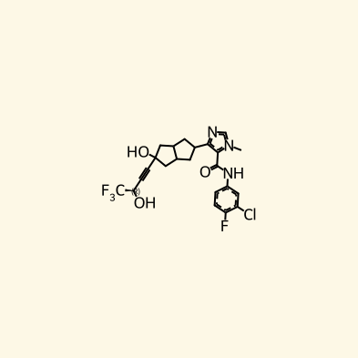 Cn1cnc(C2CC3CC(O)(C#C[C@@H](O)C(F)(F)F)CC3C2)c1C(=O)Nc1ccc(F)c(Cl)c1